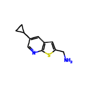 NCc1cc2cc(C3CC3)cnc2s1